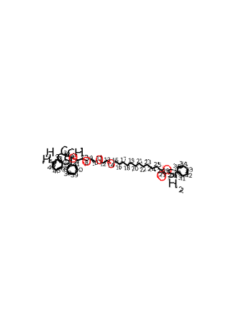 CC(C)(C)[Si](OCCOCCOCCOCCCCCCCCCCCC(=O)O[SiH2]c1ccccc1)(c1ccccc1)c1ccccc1